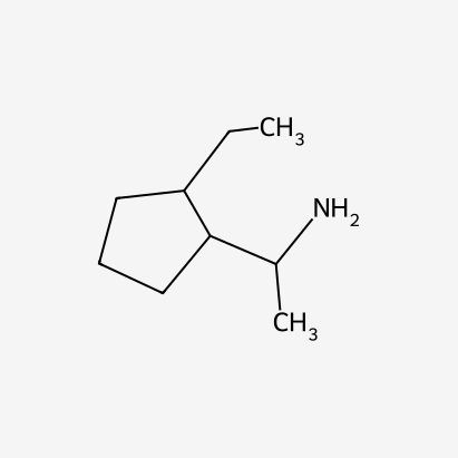 CCC1CCCC1C(C)N